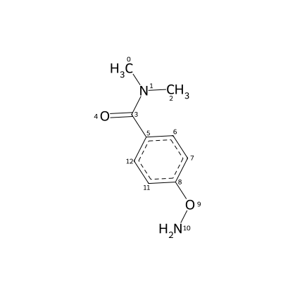 CN(C)C(=O)c1ccc(ON)cc1